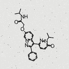 CC(C)NC(=O)COc1ccc2c(-c3ccc(=O)n(C(C)C)n3)c(-c3ccccc3)nn2c1